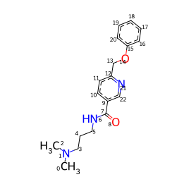 CN(C)CCCNC(=O)c1ccc(COc2ccccc2)nc1